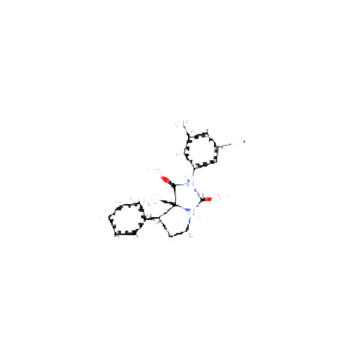 CC12C(=O)N(c3cc(Cl)cc(Cl)c3)C(=O)N1CCC2c1ccccc1